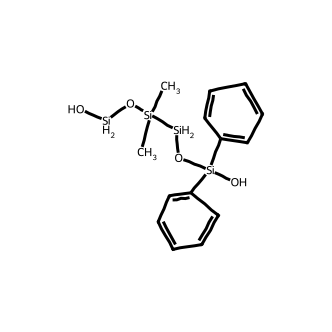 C[Si](C)(O[SiH2]O)[SiH2]O[Si](O)(c1ccccc1)c1ccccc1